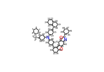 CC1(C)c2ccccc2-c2cc(N(c3ccc(-c4cccc5ccccc45)cc3)c3ccc(-c4cccc5oc6cc7nc(-c8ccccc8)oc7cc6c45)cc3)ccc21